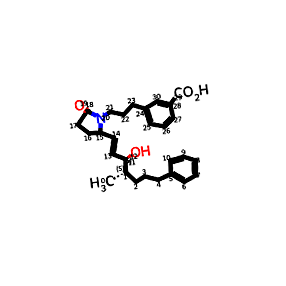 C[C@@H](CCCc1ccccc1)[C@H](O)C=CC1CCC(=O)N1CCCc1cccc(C(=O)O)c1